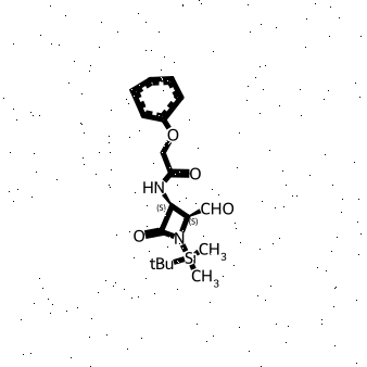 CC(C)(C)[Si](C)(C)N1C(=O)[C@@H](NC(=O)COc2ccccc2)[C@H]1C=O